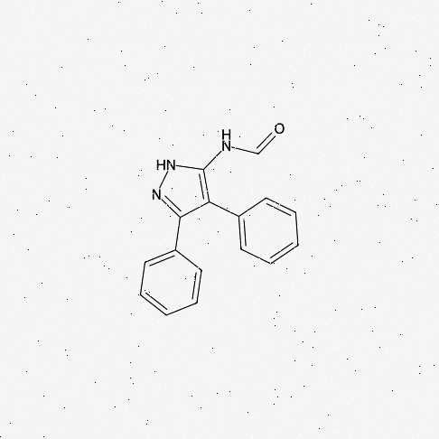 O=CNc1[nH]nc(-c2ccccc2)c1-c1ccccc1